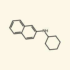 c1ccc2cc(NC3CCCCC3)ccc2c1